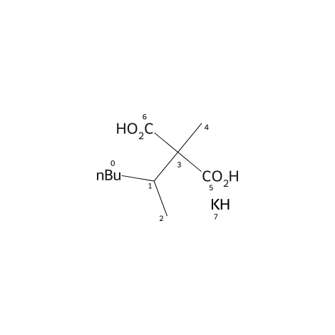 CCCCC(C)C(C)(C(=O)O)C(=O)O.[KH]